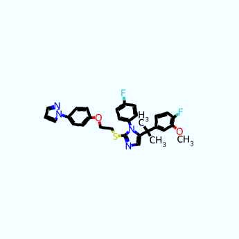 COc1cc(C(C)(C)c2cnc(SCCOc3ccc(-n4cccn4)cc3)n2-c2ccc(F)cc2)ccc1F